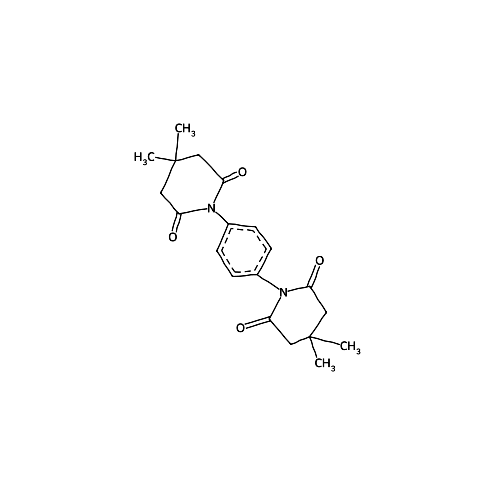 CC1(C)CC(=O)N(c2ccc(N3C(=O)CC(C)(C)CC3=O)cc2)C(=O)C1